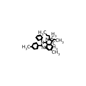 CCC[C@@]1(C)N=C(N(C(=N)c2ccc(C)cc2)c2ccccc2)c2ccc(C)cc2C1(C)CC